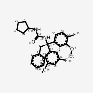 CCOc1cc([C@@](Cc2ccccc2)(NC(=O)NC2CCCC2)c2cc(F)cc(C(F)(F)F)c2)ccc1F